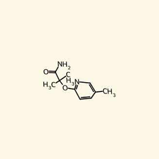 Cc1ccc(OC(C)(C)C(N)=O)nc1